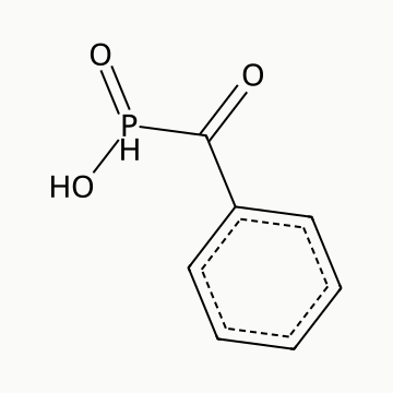 O=C(c1ccccc1)[PH](=O)O